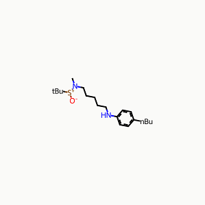 CCCCc1ccc(NCCCCCN(C)[S+]([O-])C(C)(C)C)cc1